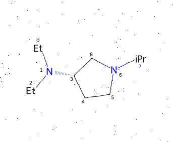 CCN(CC)[C@H]1CCN(C(C)C)C1